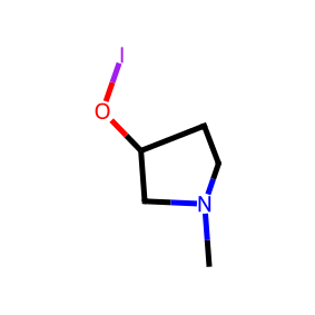 CN1CCC(OI)C1